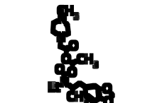 CCN(C(=O)OC(C)OC(=O)CN1CCN(C)CC1)C(C)Cc1ccc2c(c1)OCO2